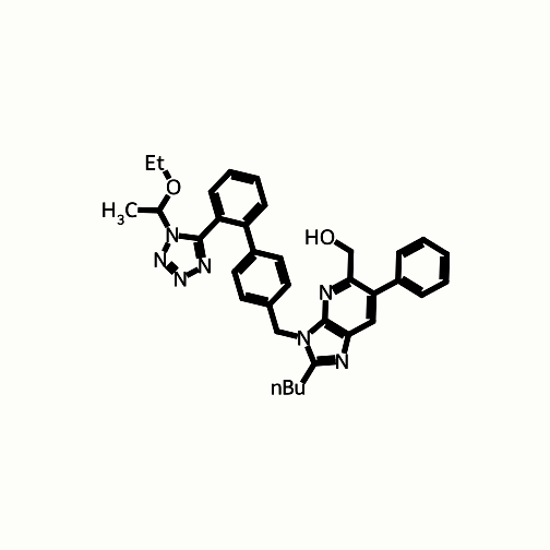 CCCCc1nc2cc(-c3ccccc3)c(CO)nc2n1Cc1ccc(-c2ccccc2-c2nnnn2C(C)OCC)cc1